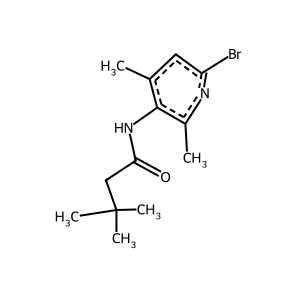 Cc1cc(Br)nc(C)c1NC(=O)CC(C)(C)C